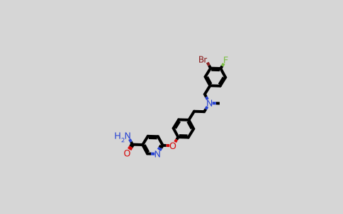 CN(CCc1ccc(Oc2ccc(C(N)=O)cn2)cc1)Cc1ccc(F)c(Br)c1